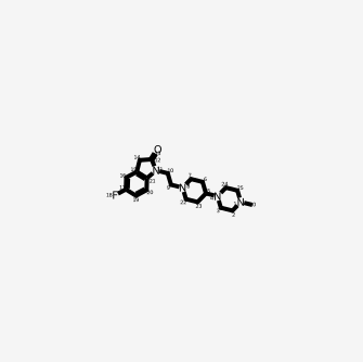 CN1CCN(C2CCN(CCN3C(=O)Cc4cc(F)ccc43)CC2)CC1